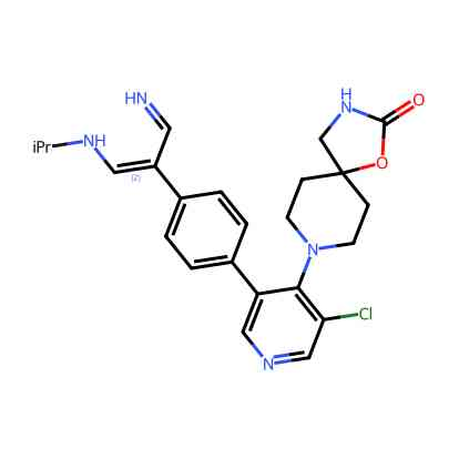 CC(C)N/C=C(\C=N)c1ccc(-c2cncc(Cl)c2N2CCC3(CC2)CNC(=O)O3)cc1